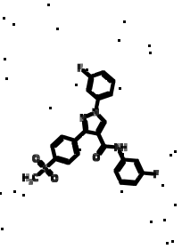 CS(=O)(=O)c1ccc(-c2nn(-c3cccc(F)c3)cc2C(=O)Nc2cccc(F)c2)cc1